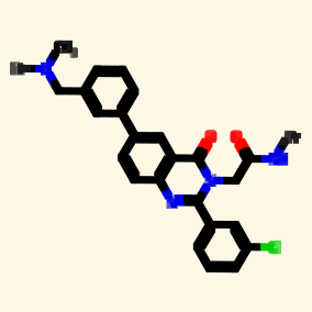 CCN(C)Cc1cccc(-c2ccc3nc(-c4cccc(Cl)c4)n(CC(=O)NC(C)C)c(=O)c3c2)c1